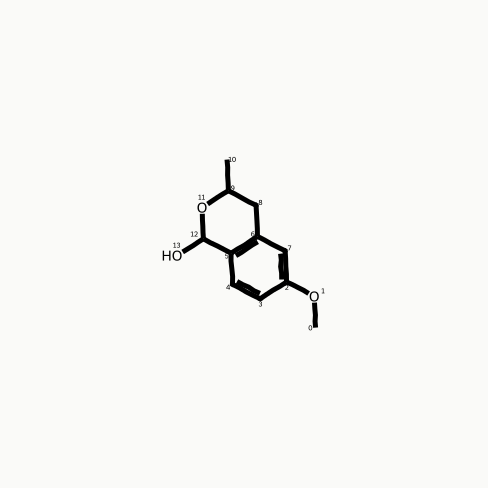 COc1ccc2c(c1)CC(C)OC2O